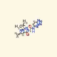 CC(C)c1nn(CC(=O)Nc2ccc3nnnn3n2)c(=O)c2cc(C3CC3)nn12